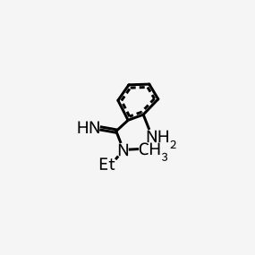 CCN(C)C(=N)c1ccccc1N